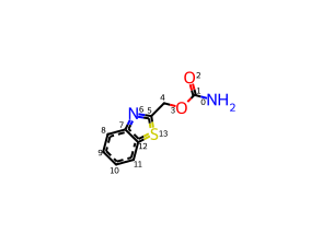 NC(=O)OCc1nc2ccccc2s1